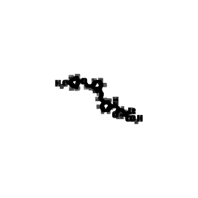 CCC(CC)(CC(=O)Nc1cccc(/C=C/c2cccc(COc3ccc(C)cc3)n2)c1)C(=O)O